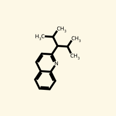 CC(C)C(c1ccc2ccccc2n1)C(C)C